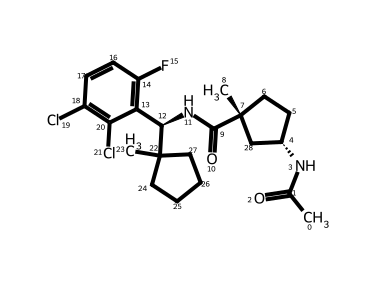 CC(=O)N[C@H]1CC[C@@](C)(C(=O)N[C@H](c2c(F)ccc(Cl)c2Cl)C2(C)CCCC2)C1